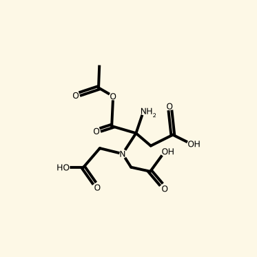 CC(=O)OC(=O)C(N)(CC(=O)O)N(CC(=O)O)CC(=O)O